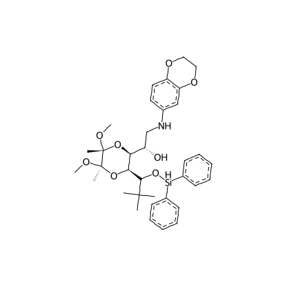 CO[C@]1(C)O[C@@H]([C@@H](O)CNc2ccc3c(c2)OCCO3)[C@@H](C(O[SiH](c2ccccc2)c2ccccc2)C(C)(C)C)O[C@@]1(C)OC